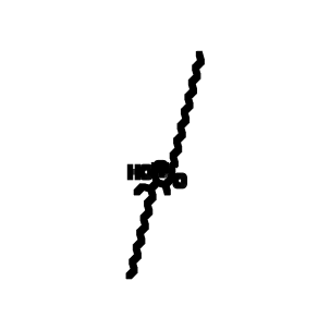 CCCCCCCCCCCCCCCCNC(=O)C(C)C(C(=O)O)C(CC)CCCCCCCCCCCC